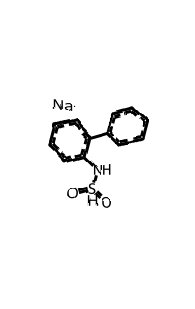 O=[SH](=O)Nc1ccccc1-c1ccccc1.[Na]